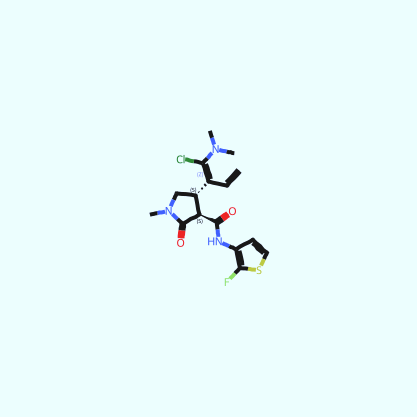 C=C/C(=C(/Cl)N(C)C)[C@H]1CN(C)C(=O)[C@@H]1C(=O)Nc1ccsc1F